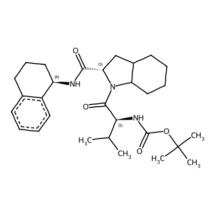 CC(C)[C@H](NC(=O)OC(C)(C)C)C(=O)N1C2CCCCC2C[C@H]1C(=O)N[C@@H]1CCCc2ccccc21